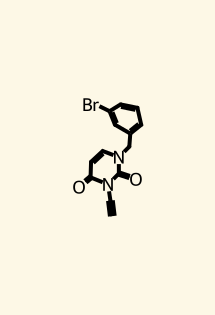 C#Cn1c(=O)ccn(Cc2cccc(Br)c2)c1=O